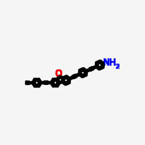 C#Cc1ccc(C#Cc2ccc3c(c2)C(=O)c2cc(C#Cc4ccc(C#Cc5ccc(N)cc5)cc4)ccc2-3)cc1